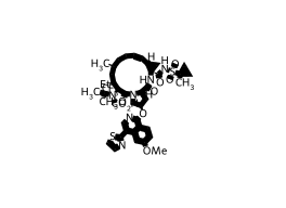 CC[C@@H]1C[C@H](C)CCC=C[C@@H]2C[C@@]2(C(=O)NS(=O)(=O)C2(C)CC2)NC(=O)[C@@H]2C[C@@H](Oc3ncc(-c4nccs4)c4cc(OC)ccc34)CN2C(=O)[C@H]1N(C(=O)O)C(C)(C)C(F)(F)F